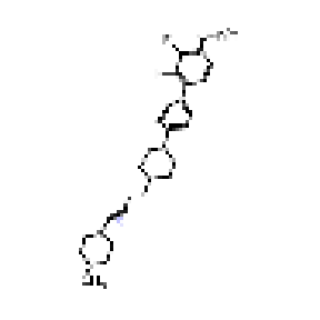 CCCOc1ccc(-c2ccc(C3CCC(CC/C=C/C4CCC(C)CC4)CC3)cc2)c(F)c1F